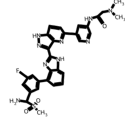 CN(C)CC(=O)Nc1cncc(-c2ccc3[nH]nc(-c4nc5c(-c6cc(F)cc(C(N)S(C)(=O)=O)c6)cccc5[nH]4)c3n2)c1